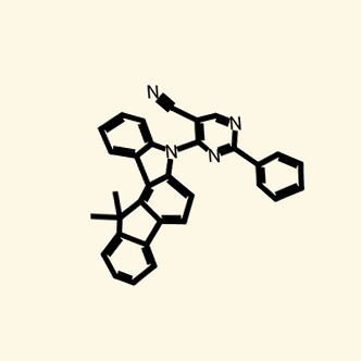 CC1(C)c2ccccc2-c2ccc3c(c21)c1ccccc1n3-c1nc(-c2ccccc2)ncc1C#N